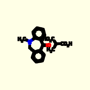 CC(C(=O)O)C(=O)O.CN1Cc2ccccc2C(=O)c2ccccc21